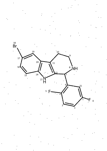 Fc1ccc(F)c(C2NCCc3c2[nH]c2ccc(Br)cc32)c1